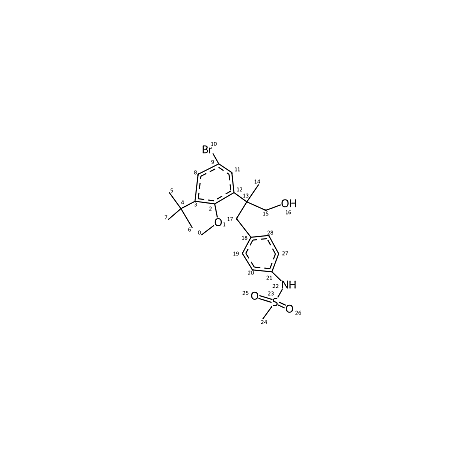 COc1c(C(C)(C)C)cc(Br)cc1C(C)(CO)Cc1ccc(NS(C)(=O)=O)cc1